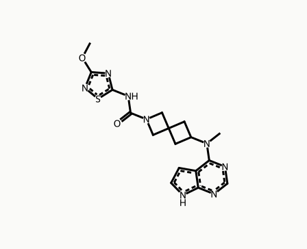 COc1nsc(NC(=O)N2CC3(CC(N(C)c4ncnc5[nH]ccc45)C3)C2)n1